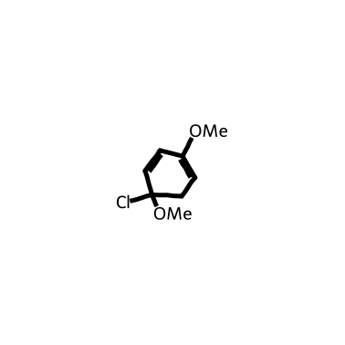 COC1=CCC(Cl)(OC)C=C1